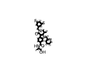 CC(CO)NC(=O)c1ccc2c(C(=O)NCc3cc(F)cc(F)c3)c(C(C)C)n(Cc3ccccn3)c2c1